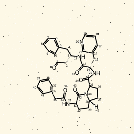 O=CC[C@H](Cc1ccccc1)NC(=O)[C@H](Cc1cccnc1)NC(=O)C1CC[C@@H]2CCC(NC(=O)Cc3ccccc3)C(=O)N12